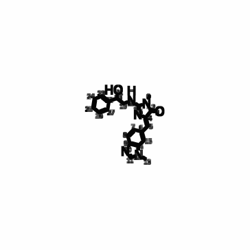 CN1C(=O)/C(=C/c2ccc3ncn(C)c3c2)N=C1NCC(O)c1ccccc1